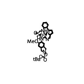 COc1cc2c(cc1Nc1ncc3ccc(-c4ccccc4NCS(C)(=O)=O)n3n1)CN(OC(=O)OC(C)(C)C)C2